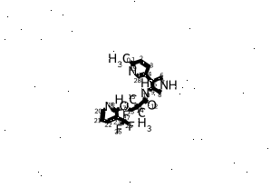 Cc1ccc(C2CNCC2NC(=O)C(C)(C)COc2ncccc2C(F)(F)F)cn1